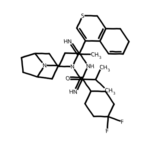 CC(=N)N(C(=N)C(C)C)C1CC2CCC(C1)N2CCC(NC(=O)C1CCC(F)(F)CC1)C1=CSCC2=C1C=CCC2